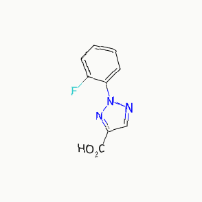 O=C(O)c1cnn(-c2ccccc2F)n1